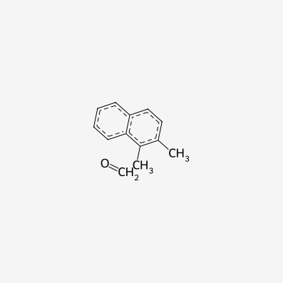 C=O.Cc1ccc2ccccc2c1C